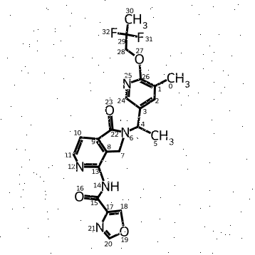 Cc1cc(C(C)N2Cc3c(ccnc3NC(=O)c3cocn3)C2=O)cnc1OCC(C)(F)F